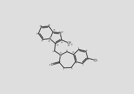 O=C1CCc2cc(Cl)ccc2CN1Cc1c(C(F)(F)F)nc2ccccn12